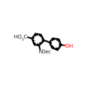 CCCCCCCCCCc1cc(C(=O)O)ccc1-c1ccc(O)cc1